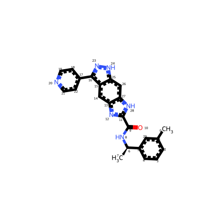 Cc1cccc([C@@H](C)NC(=O)c2nc3cc4c(-c5ccncc5)n[nH]c4cc3[nH]2)c1